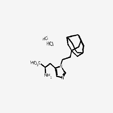 Cl.Cl.NC(Cc1cncn1CCC12CC3CC(CC(C3)C1)C2)C(=O)O